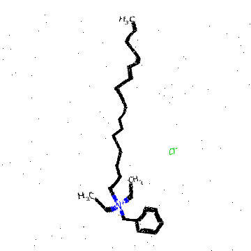 CCCCCCCCCCCCCCC[N+](CC)(CC)Cc1ccccc1.[Cl-]